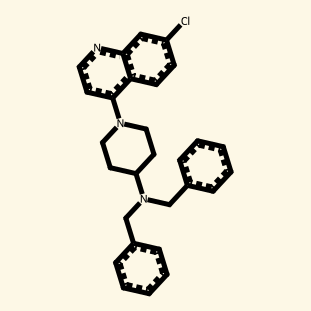 Clc1ccc2c(N3CCC(N(Cc4ccccc4)Cc4ccccc4)CC3)ccnc2c1